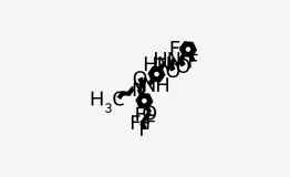 CCCCN(C(=O)Nc1ccc(NC(=O)NC(=O)c2c(F)cccc2F)cc1)c1ccc(OC(F)(F)C(F)F)cc1